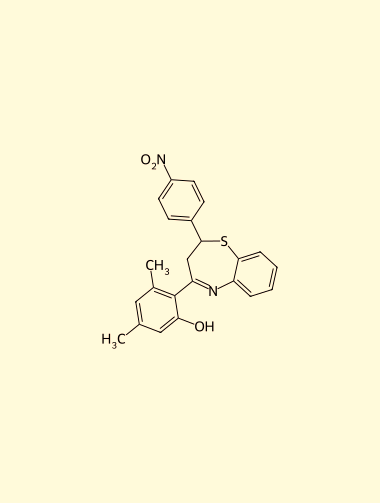 Cc1cc(C)c(C2=Nc3ccccc3SC(c3ccc([N+](=O)[O-])cc3)C2)c(O)c1